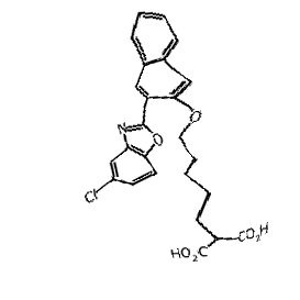 O=C(O)C(CCCCCOc1cc2ccccc2cc1-c1nc2cc(Cl)ccc2o1)C(=O)O